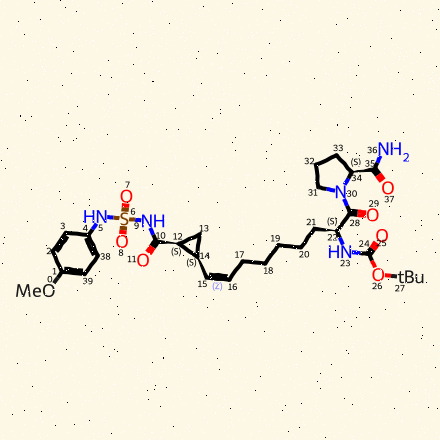 COc1ccc(NS(=O)(=O)NC(=O)[C@H]2C[C@H]2/C=C\CCCCC[C@H](NC(=O)OC(C)(C)C)C(=O)N2CCC[C@H]2C(N)=O)cc1